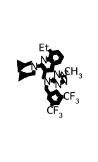 CCc1cccc2cc(CN(Cc3cc(C(F)(F)F)cc(C(F)(F)F)c3)c3nnn(C)n3)c(N(CC3CC3)CC3CC3)nc12